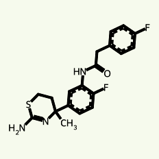 CC1(c2ccc(F)c(NC(=O)Cc3ccc(F)cc3)c2)CCSC(N)=N1